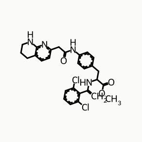 C=C(NC(Cc1ccc(NC(=O)Cc2ccc3c(n2)NCCC3)cc1)C(=O)OC)c1c(Cl)cccc1Cl